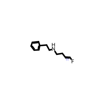 F/C=C/CCNCCc1ccccc1